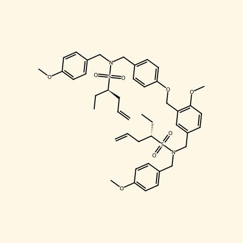 C=CC[C@@H](CC)S(=O)(=O)N(Cc1ccc(OC)cc1)Cc1ccc(OCc2cc(CN(Cc3ccc(OC)cc3)S(=O)(=O)[C@@H](CC)CC=C)ccc2OC)cc1